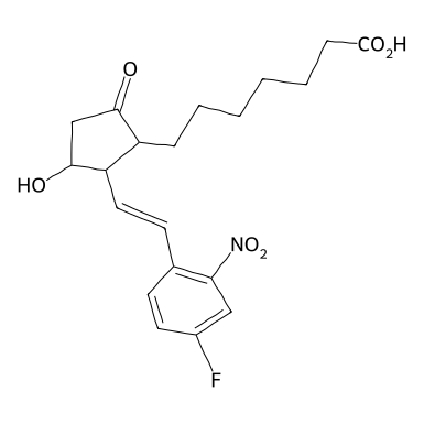 O=C(O)CCCCCCC1C(=O)CC(O)C1/C=C/c1ccc(F)cc1[N+](=O)[O-]